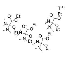 CCOC([O-])C(OCC)(N(C)C)N(C)C.CCOC([O-])C(OCC)(N(C)C)N(C)C.CCOC([O-])C(OCC)(N(C)C)N(C)C.CCOC([O-])C(OCC)(N(C)C)N(C)C.[Ti+4]